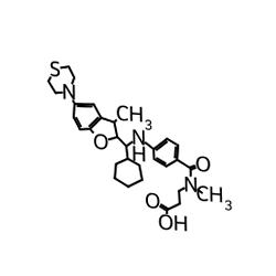 CC1c2cc(N3CCSCC3)ccc2OC1C(Nc1ccc(C(=O)N(C)CCC(=O)O)cc1)C1CCCCC1